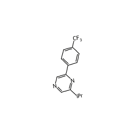 CC(C)c1cncc(-c2ccc(C(F)(F)F)cc2)n1